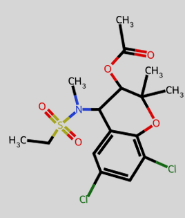 CCS(=O)(=O)N(C)C1c2cc(Cl)cc(Cl)c2OC(C)(C)C1OC(C)=O